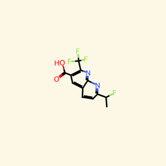 CC(F)c1ccc2cc(C(=O)O)c(C(F)(F)F)nc2n1